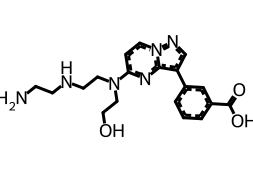 NCCNCCN(CCO)c1ccn2ncc(-c3cccc(C(=O)O)c3)c2n1